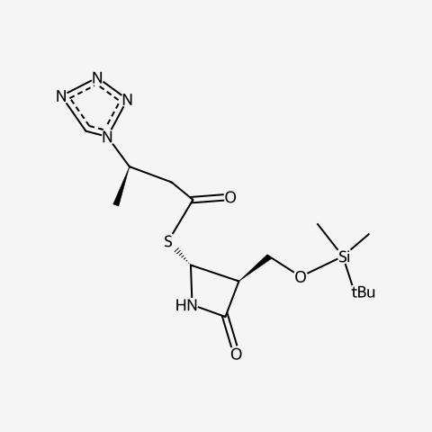 C[C@H](CC(=O)S[C@H]1NC(=O)[C@@H]1CO[Si](C)(C)C(C)(C)C)n1cnnn1